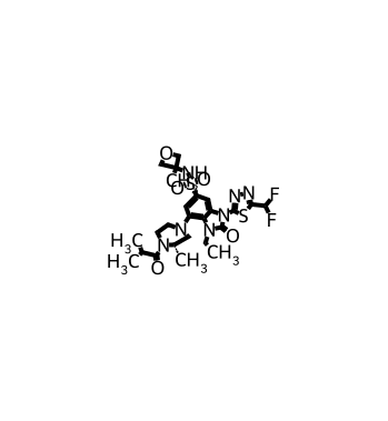 CCn1c(=O)n(-c2nnc(C(F)F)s2)c2cc(S(=O)(=O)NC3(C)COC3)cc(N3CCN(C(=O)C(C)C)[C@@H](C)C3)c21